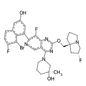 C[C@]1(O)CCCN(c2nc(OC[C@@]34CCCN3C[C@H](F)C4)nc3c(F)c(-c4cc(O)cc5ccc(F)c(Br)c45)ncc23)C1